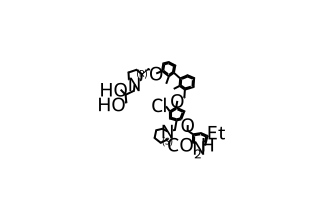 CCc1cncc(COc2cc(OCc3cccc(-c4cccc(OC[C@@H]5CCCN(CC(O)CO)C5)c4C)c3C)c(Cl)cc2CN2CCCC[C@H]2C(=O)O)c1